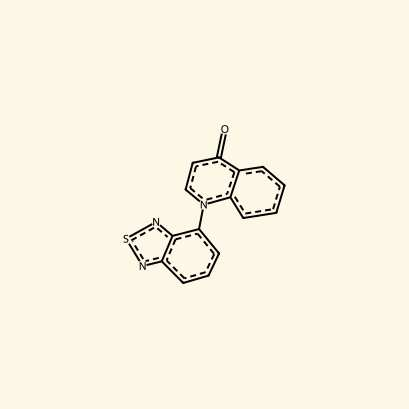 O=c1ccn(-c2cccc3nsnc23)c2ccccc12